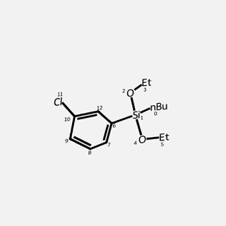 CCCC[Si](OCC)(OCC)c1cccc(Cl)c1